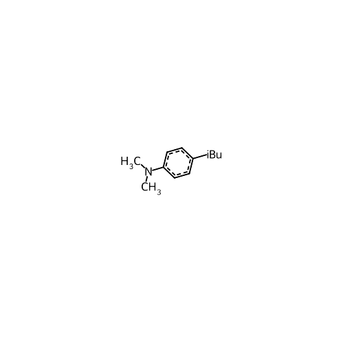 CCC(C)c1ccc(N(C)C)cc1